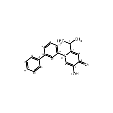 CC(C)c1cc(=O)c(O)cn1-c1cccc(-c2ccccc2)c1